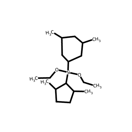 CCO[Si](OCC)(C1CC(C)CC(C)C1)C1C(C)CCC1C